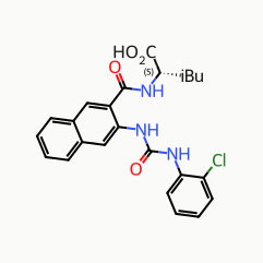 CCC(C)[C@H](NC(=O)c1cc2ccccc2cc1NC(=O)Nc1ccccc1Cl)C(=O)O